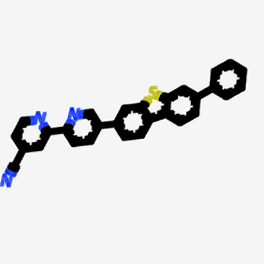 N#Cc1ccnc(-c2ccc(-c3ccc4c(c3)sc3cc(-c5ccccc5)ccc34)cn2)c1